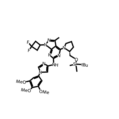 COc1cc(-n2cnc(Nc3nc(N4CCC[C@H]4CO[Si](C)(C)C(C)(C)C)c4c(C)nn(C5CC(F)(F)C5)c4n3)c2)cc(OC)c1OC